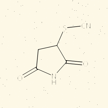 N#CSC1CC(=O)NC1=O